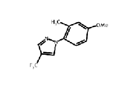 COc1ccc(-n2cc(C(F)(F)F)cn2)c(C)c1